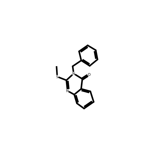 CSc1nc2ccccc2c(=O)n1Cc1ccccc1